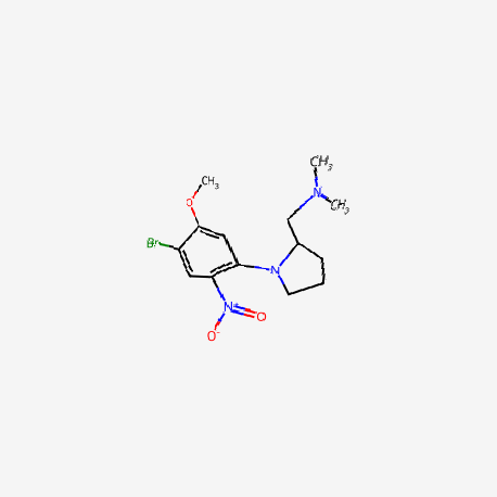 COc1cc(N2CCCC2CN(C)C)c([N+](=O)[O-])cc1Br